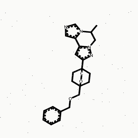 CC1Cn2nc(C34CCC(COCc5ccccc5)(CC3)OC4)cc2-c2cncn21